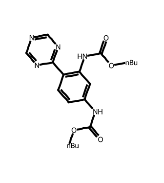 CCCCOC(=O)Nc1ccc(-c2ncncn2)c(NC(=O)OCCCC)c1